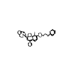 Cc1c(OCCCc2ccccc2)ccc2c(=O)cc(N3CCOCC3)oc12